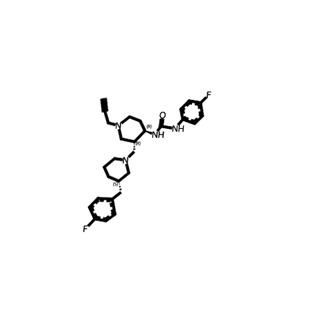 C#CCN1CC[C@@H](NC(=O)Nc2ccc(F)cc2)[C@H](CN2CCC[C@@H](Cc3ccc(F)cc3)C2)C1